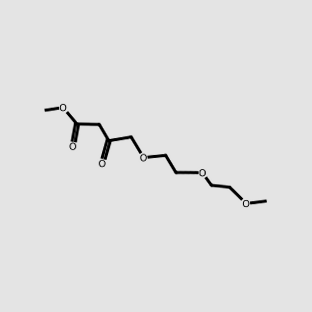 COCCOCCOCC(=O)CC(=O)OC